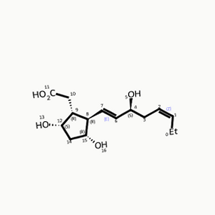 CC/C=C\C[C@H](O)/C=C/[C@@H]1[C@@H](CC(=O)O)[C@@H](O)C[C@H]1O